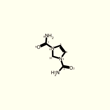 NC(=O)N1C=CN(C(N)=O)C1